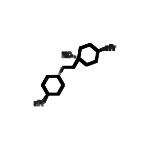 CCC[C@H]1CC[C@H](CC[C@]2(C#N)CC[C@H](CCC)CC2)CC1